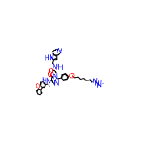 C[C@@H](Nc1cnc(-c2ccc(OCCCCCCCN=[N+]=[N-])cc2)n(CC(=O)NCc2cc3cnccc3[nH]2)c1=O)c1ccc2oc3ccccc3c2c1